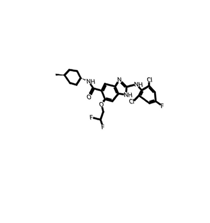 C[C@H]1CC[C@H](NC(=O)c2cc3nc(Nc4c(Cl)cc(F)cc4Cl)[nH]c3cc2OCC(F)F)CC1